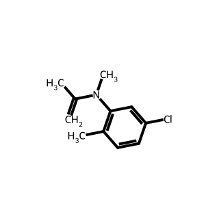 C=C(C)N(C)c1cc(Cl)ccc1C